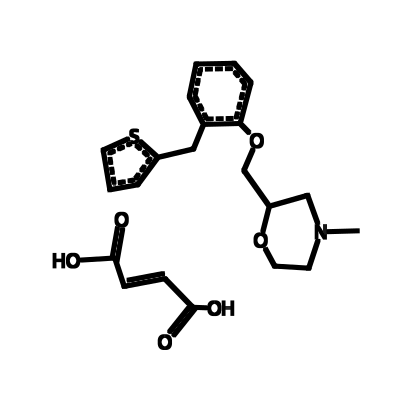 CN1CCOC(COc2ccccc2Cc2cccs2)C1.O=C(O)C=CC(=O)O